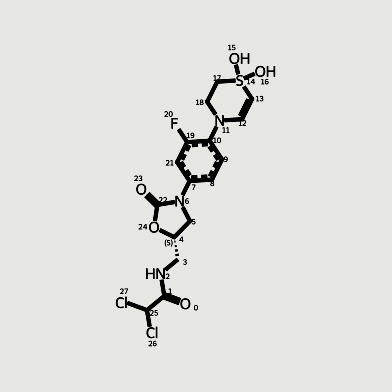 O=C(NC[C@H]1CN(c2ccc(N3C=CS(O)(O)CC3)c(F)c2)C(=O)O1)C(Cl)Cl